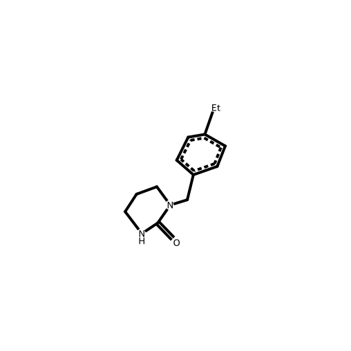 CCc1ccc(CN2CCCNC2=O)cc1